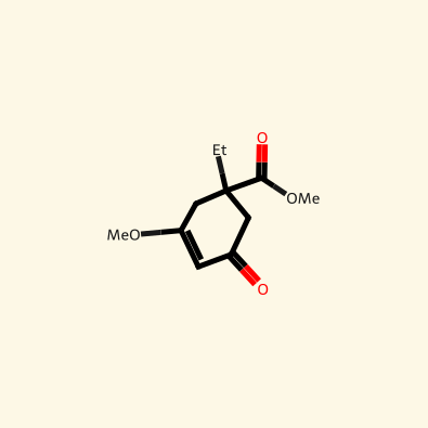 CCC1(C(=O)OC)CC(=O)C=C(OC)C1